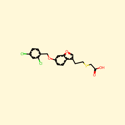 O=C(O)CSCCc1coc2cc(OCc3ccc(Cl)cc3Cl)ccc12